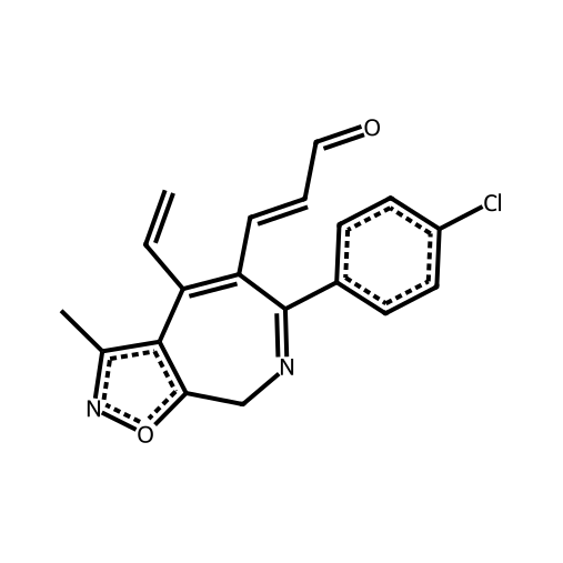 C=CC1=C(C=CC=O)C(c2ccc(Cl)cc2)=NCc2onc(C)c21